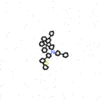 c1ccc(-c2ccc(N(c3ccc(-c4cccc5c4sc4ccccc45)cc3)c3ccc4c(c3)C(c3ccccc3)(c3ccccc3)c3c-4cc(-c4ccccc4)c4ccccc34)cc2)cc1